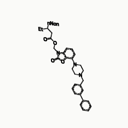 CCCCCCCCCC(CC)CC(=O)OCn1c(=O)oc2c(N3CCN(Cc4cccc(-c5ccccc5)c4)CC3)cccc21